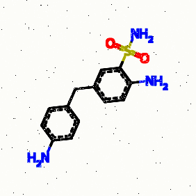 Nc1ccc(Cc2ccc(N)c(S(N)(=O)=O)c2)cc1